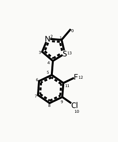 Cc1ncc(-c2cccc(Cl)c2F)s1